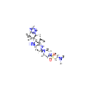 Cc1c(-c2[nH]c3ccc(N4CCN(S(=O)(=O)CCN(C)C)CC4)nc3c2C(C)C)cn2ncnc2c1C